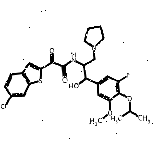 COc1cc(C(O)C(CN2CCCC2)NC(=O)C(=O)c2cc3ccc(Cl)cc3s2)cc(F)c1OC(C)C